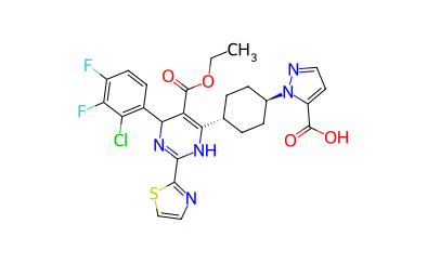 CCOC(=O)C1=C([C@H]2CC[C@H](n3nccc3C(=O)O)CC2)NC(c2nccs2)=NC1c1ccc(F)c(F)c1Cl